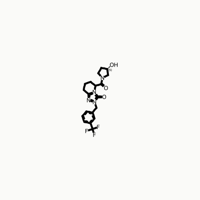 O=C(C1CCCc2nn(Cc3cccc(C(F)(F)F)c3)c(=O)n21)N1CC[C@H](O)C1